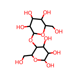 OCC1OC(OC2C(CO)O[C@H](O)C(O)C2O)C(O)C(O)C1O